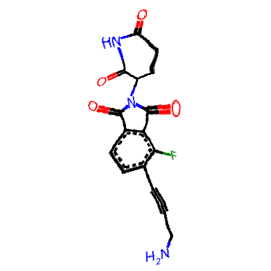 NCC#Cc1ccc2c(c1F)C(=O)N(C1CCC(=O)NC1=O)C2=O